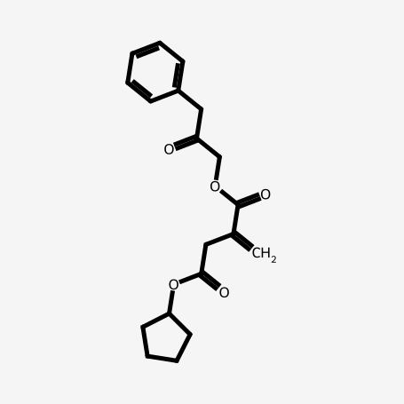 C=C(CC(=O)OC1CCCC1)C(=O)OCC(=O)Cc1ccccc1